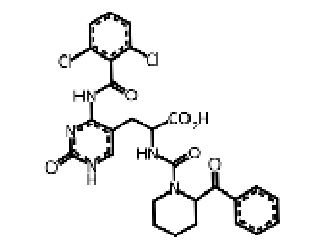 O=C(Nc1nc(=O)[nH]cc1CC(NC(=O)N1CCCCC1C(=O)c1ccccc1)C(=O)O)c1c(Cl)cccc1Cl